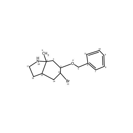 CC12CC(OCc3ccccc3)C(Br)CC1CCN2